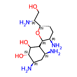 N[C@H](CO)[C@@H]1CC[C@@H](N)[C@@H](C2C(O)[C@@H](O)[C@H](N)C[C@@H]2N)O1